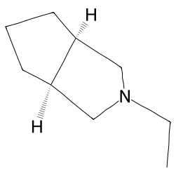 CCN1C[C@H]2CCC[C@H]2C1